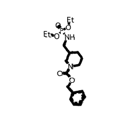 CCOP(=O)(NCC1CCCN(C(=O)OCc2ccccc2)C1)OCC